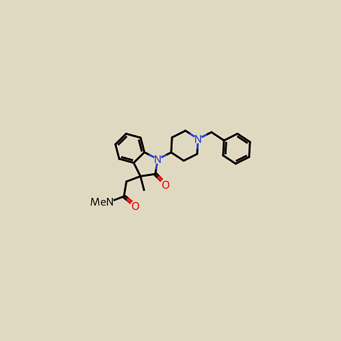 CNC(=O)CC1(C)C(=O)N(C2CCN(Cc3ccccc3)CC2)c2ccccc21